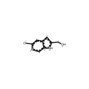 OCc1cc2cc(Cl)ncc2[nH]1